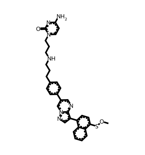 COSc1ccc(-c2cnn3cc(-c4ccc(CCCNCCCn5ccc(N)nc5=O)cc4)cnc23)c2ccccc12